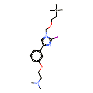 CN(C)CCOc1cccc(-c2cn(COCC[Si](C)(C)C)c(I)n2)c1